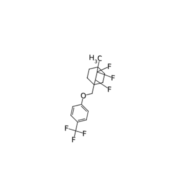 CC12CCC(COc3ccc(C(F)(F)F)cc3)(CC1)C(F)C2(F)F